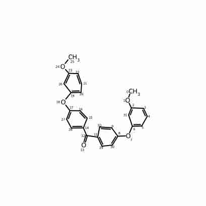 COc1cccc(Oc2ccc(C(=O)c3ccc(Oc4cccc(OC)c4)cc3)cc2)c1